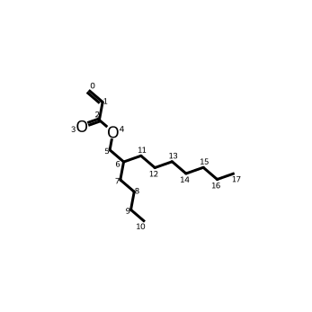 C=CC(=O)OCC(CCCC)CCCCCCC